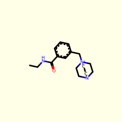 CCNC(=O)c1cccc(C[N+]23CCN(CC2)CC3)c1